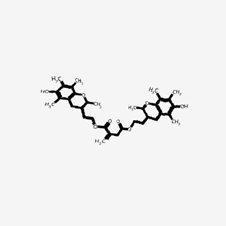 C=C(CC(=O)OCCC1Cc2c(C)c(O)c(C)c(C)c2OC1C)C(=O)OCCC1Cc2c(C)c(O)c(C)c(C)c2OC1C